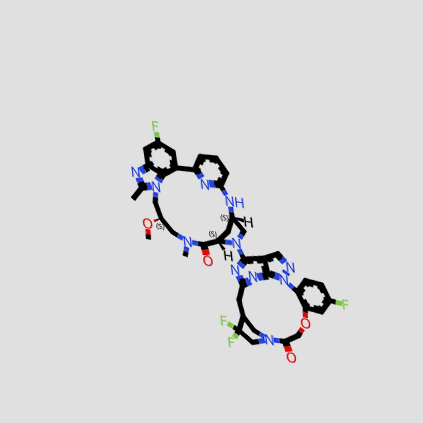 CO[C@H]1CN(C)C(=O)[C@@H]2C[C@@H](CN2c2nc3nc4c2cnn4-c2ccc(F)cc2OCC(=O)N2CC(C3)C(F)(F)C2)Nc2cccc(n2)-c2cc(F)cc3nc(C)n(c23)C1